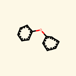 [c]1ccc(Oc2cc[c]cc2)cc1